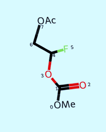 COC(=O)OC(F)COC(C)=O